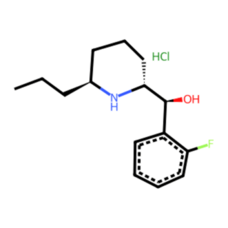 CCC[C@H]1CCC[C@H]([C@@H](O)c2ccccc2F)N1.Cl